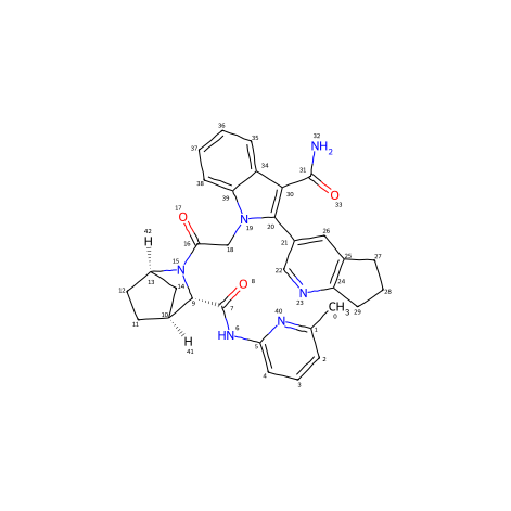 Cc1cccc(NC(=O)[C@@H]2[C@H]3CC[C@H](C3)N2C(=O)Cn2c(-c3cnc4c(c3)CCC4)c(C(N)=O)c3ccccc32)n1